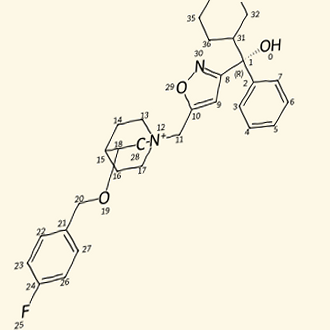 O[C@](c1ccccc1)(c1cc(C[N+]23CCC(CC2)C(OCc2ccc(F)cc2)C3)on1)C1CCCCC1